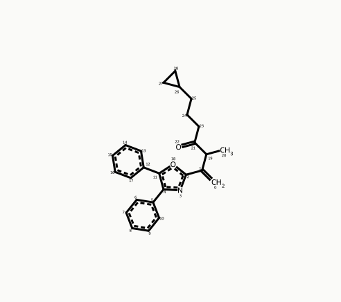 C=C(c1nc(-c2ccccc2)c(-c2ccccc2)o1)C(C)C(=O)CCCC1CC1